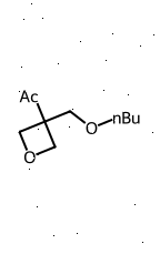 CCCCOCC1(C(C)=O)COC1